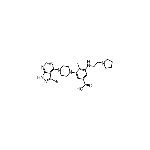 Cc1c(NCCN2CCCC2)cc(C(=O)O)cc1N1CCN(c2ncnc3[nH]nc(Br)c23)CC1